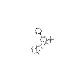 CC(CCC(=NN([Si](C)(C)C)[Si](C)(C)C)c1ccccc1)=NN([Si](C)(C)C)[Si](C)(C)C